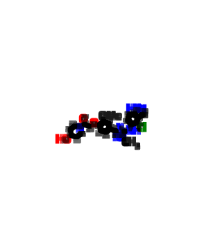 COc1cc(-c2nc(Nc3ccc4[nH]ncc4c3Cl)n(C)n2)ccc1OCC(=O)N1CCC(O)CC1